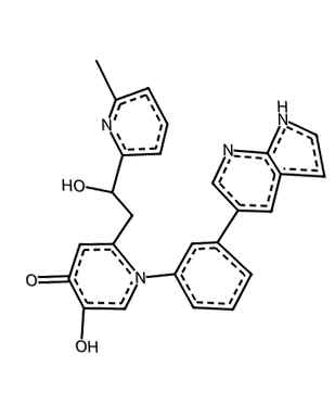 Cc1cccc(C(O)Cc2cc(=O)c(O)cn2-c2cccc(-c3cnc4[nH]ccc4c3)c2)n1